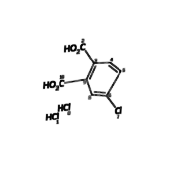 Cl.Cl.O=C(O)c1ccc(Cl)cc1C(=O)O